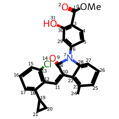 COC(=O)c1ccc(N2C(=O)/C(=C\c3c(Cl)cccc3C3CC3)c3c(C)cccc32)cc1O